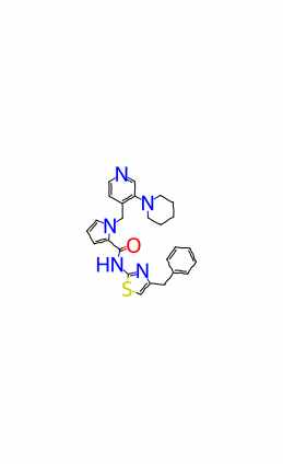 O=C(Nc1nc(Cc2ccccc2)cs1)c1cccn1Cc1ccncc1N1CCCCC1